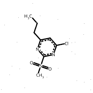 CCCc1cc(Cl)nc(S(C)(=O)=O)n1